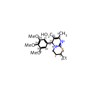 CCC1CCN2C(=NC(C)=C(C(=O)O)C2c2cc(OC)c(OC)c(OC)c2)S1